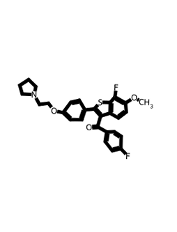 COc1ccc2c(C(=O)c3ccc(F)cc3)c(-c3ccc(OCCN4CCCC4)cc3)sc2c1F